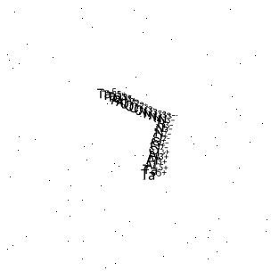 [Al+3].[Al+3].[Al+3].[Al+3].[Al+3].[N-3].[N-3].[N-3].[N-3].[N-3].[N-3].[N-3].[N-3].[O-2].[O-2].[O-2].[O-2].[O-2].[O-2].[O-2].[O-2].[Ta+5].[Ta+5].[Ta+5].[Ta+5].[Ta+5]